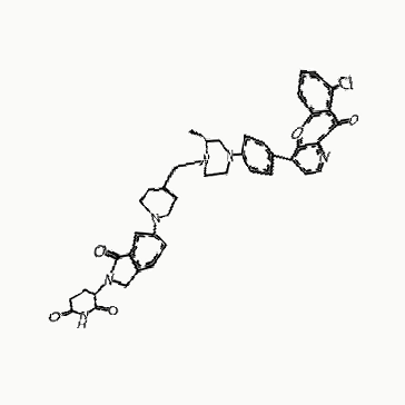 C[C@H]1CN(c2ccc(-c3ccnc4c(=O)c5c(Cl)cccc5oc34)cc2)CCN1CC1CCN(c2ccc3c(c2)C(=O)N(C2CCC(=O)NC2=O)C3)CC1